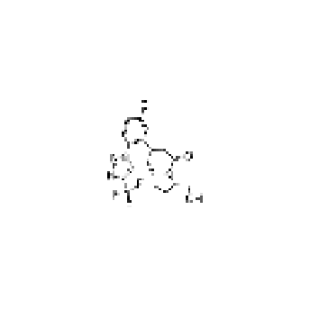 O=c1cc(-c2cc(Cl)ccc2-n2cc(C(F)(F)F)nn2)cc2n1[C@H](CO)CC2